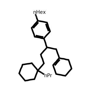 CCCCCCc1ccc(C(CCC2(CCC)CCCCC2)CC2=CCCCC2)cc1